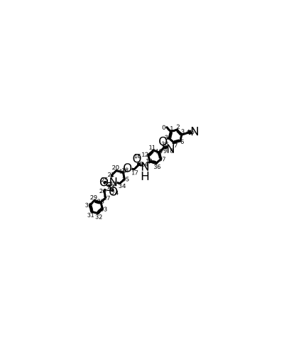 Cc1cc(C#N)cc2nc(-c3ccc(NC(=O)COC4CCN(S(=O)(=O)CCc5ccccc5)CC4)cc3)oc12